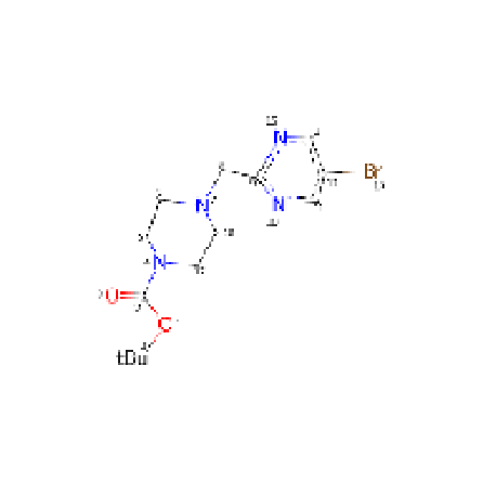 CC(C)(C)OC(=O)N1CCN(Cc2ncc(Br)cn2)CC1